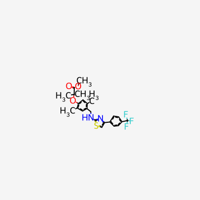 COC(=O)C(C)(C)Oc1cc(C)c(CNc2nc(-c3ccc(C(F)(F)F)cc3)cs2)cc1C